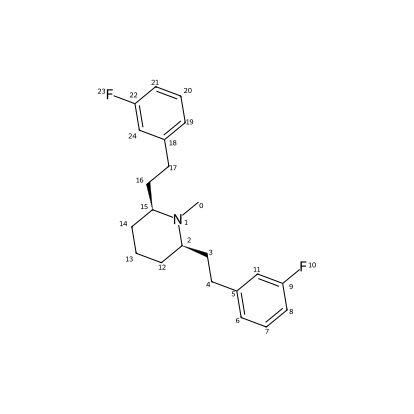 CN1[C@@H](CCc2cccc(F)c2)CCC[C@H]1CCc1cccc(F)c1